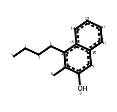 CCCCc1c(C)c(O)cc2ccccc12